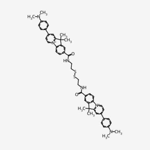 CN(C)c1ccc(-c2cc[n+]3c(c2)C(C)(C)c2cc(C(=O)NCCSSCCNC(=O)c4ccc5c(c4)C(C)(C)c4cc(-c6ccc(N(C)C)cc6)cc[n+]4-5)ccc2-3)cc1